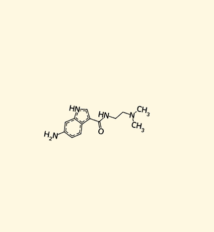 CN(C)CCNC(=O)c1c[nH]c2cc(N)ccc12